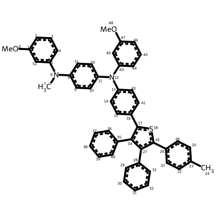 COc1cccc(N(C)c2ccc(N(c3ccc(-c4sc(-c5ccc(C)cc5)c(-c5ccccc5)c4-c4ccccc4)cc3)c3cccc(OC)c3)cc2)c1